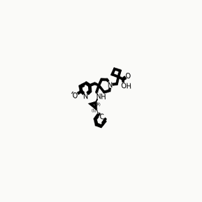 COc1ccc(CC2(CN[C@@H]3C[C@H]3c3ccccc3)CCN(CC3(C(=O)O)CCC3)CC2)cn1